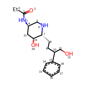 CCC(=O)N[C@H]1CN[C@H](CCC(CO)c2ccccc2)[C@@H](O)C1